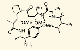 CCC(C)C([C@@H](CC(=O)N1CCC[C@H]1[C@H](OC)[C@@H](C)C(=O)N[C@H](C)C(N)c1ccc(OC)cc1)OC)N(C)C(=O)[C@@H](NC(=O)C(C(C)C)N(C)C)C(C)C